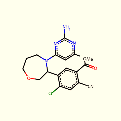 COC(=O)c1cc(C2COCCCN2c2cc(C)nc(N)n2)c(Cl)cc1C#N